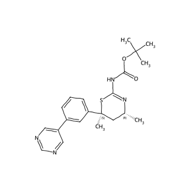 C[C@@H]1C[C@@](C)(c2cccc(-c3cncnc3)c2)SC(NC(=O)OC(C)(C)C)=N1